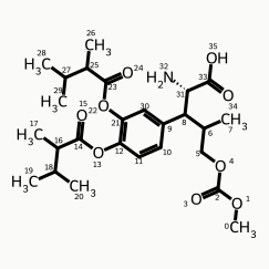 COC(=O)OCC(C)C(c1ccc(OC(=O)C(C)C(C)C)c(OC(=O)C(C)C(C)C)c1)[C@H](N)C(=O)O